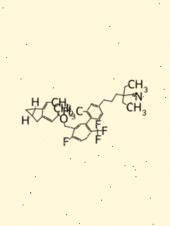 C=C(/C=C1/C[C@H]2C[C@H]2/C1=C/C)OCC1=CC(c2ccc(CCCC(C#N)(CC)CC)cc2C)=C(C(F)(F)F)CC=C1F